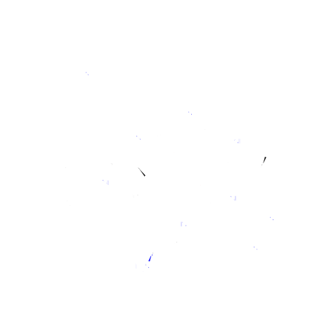 CC(C)C[C@H](NC(=O)[C@H](CCCCN)NC(=O)[C@H](CCC(=O)O)NC(=O)[C@@H](NC(=O)[C@H](Cc1c[nH]cn1)NC(=O)[C@@H](N)Cc1ccc(O)cc1)[C@@H](C)O)C(=O)N[C@H](C(=O)O)C(C)C